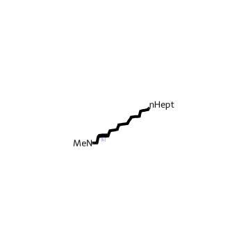 CCCCCCCCCCCCCCC/C=C/CNC